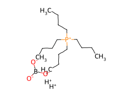 CCCC[P+](CCCC)(CCCC)CCCC.[H+].[H+].[O-]B([O-])[O-]